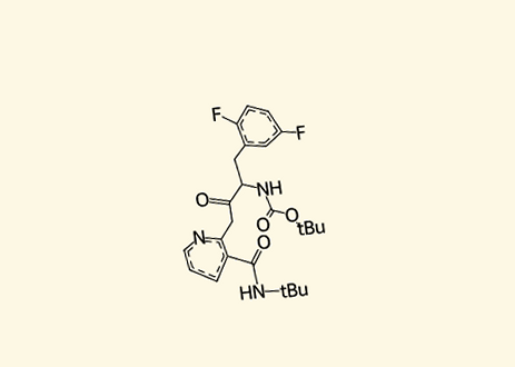 CC(C)(C)NC(=O)c1cccnc1CC(=O)C(Cc1cc(F)ccc1F)NC(=O)OC(C)(C)C